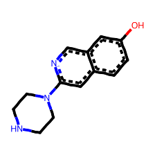 Oc1ccc2cc(N3CCNCC3)ncc2c1